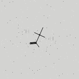 [CH2]C(O)(O)C(=O)O